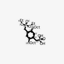 CCCCCCCCc1cc(CP(=O)(OCC)OCC)c(CCCCCCCC)cc1CP(=O)(O)O